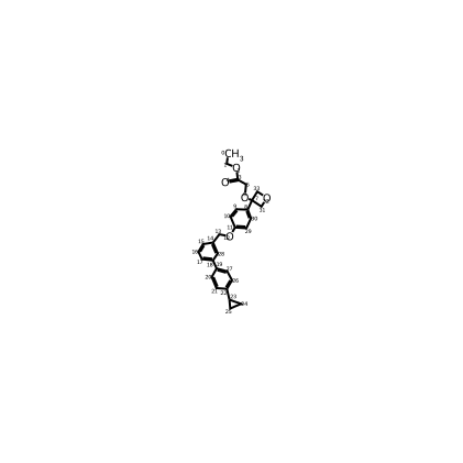 CCOC(=O)COC1(c2ccc(OCc3cccc(-c4ccc(C5CC5)cc4)c3)cc2)COC1